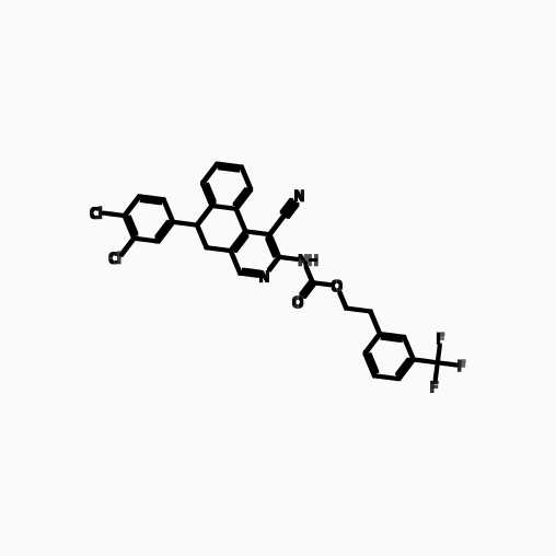 N#Cc1c(NC(=O)OCCc2cccc(C(F)(F)F)c2)ncc2c1-c1ccccc1C(c1ccc(Cl)c(Cl)c1)C2